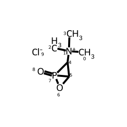 C[N+](C)(C)C1C2OP21=O.[Cl-]